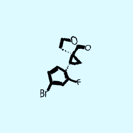 O=C1OCC[C@@]12C[C@@H]2c1ccc(Br)cc1F